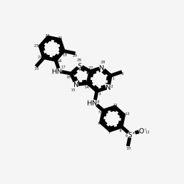 Cc1nc(Nc2ccc([S+](C)[O-])cc2)c2nc(Nc3c(C)cccc3C)sc2n1